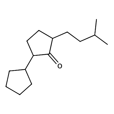 CC(C)CCC1CCC(C2CCCC2)C1=O